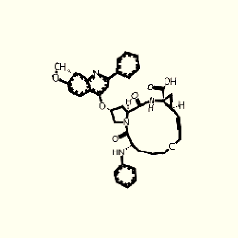 COc1ccc2c(O[C@@H]3C[C@H]4C(=O)N[C@]5(C(=O)O)C[C@H]5/C=C\CCCCC[C@H](Nc5ccccc5)C(=O)N4C3)cc(-c3ccccc3)nc2c1